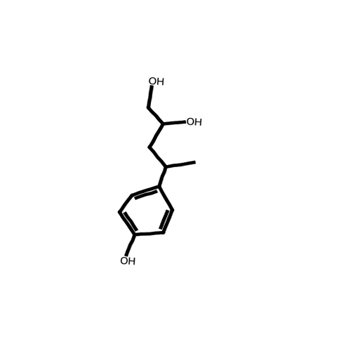 CC(CC(O)CO)c1ccc(O)cc1